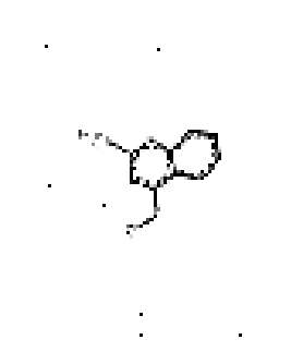 Nc1cc(CCl)c2ccccc2n1